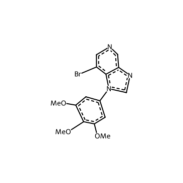 COc1cc(-n2cnc3cncc(Br)c32)cc(OC)c1OC